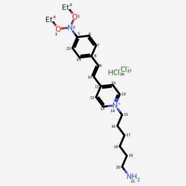 CCON(OCC)c1ccc(C=Cc2cc[n+](CCCCCCN)cc2)cc1.Cl.[Cl-]